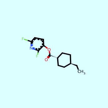 CC[C@H]1CC[C@H](C(=O)Oc2ccc(F)nc2F)CC1